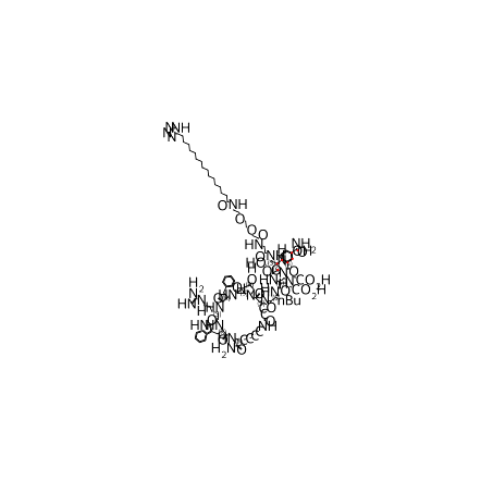 CCCC[C@H](NC(=O)[C@H](CN(CC(=O)O)CC(=O)O)NC(=O)[C@H](Cc1ccc(O)cc1)NC(=O)[C@H](CCC(N)=O)NC(=O)[C@H](CO)NC(=O)CNC(=O)COCCOCCNC(=O)CCCCCCCCCCCCCCCc1nnn[nH]1)C(=O)N[C@H]1CCC(=O)NCCCC[C@@H](C(N)=O)NC(=O)[C@@H](Cc2c[nH]c3ccccc23)NC(=O)[C@H](CCCNC(=N)N)NC(=O)[C@@H](Cc2ccccc2)NC(=O)[C@@H]2C[C@@H](O)CN2C1=O